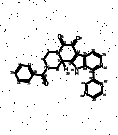 O=C1C(=O)N2CCN(C(=O)c3ccccc3)C[C@H]2c2[nH]c3c(-c4cnccn4)nccc3c21